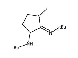 CN1CCC(NC(C)(C)C)C1=NC(C)(C)C